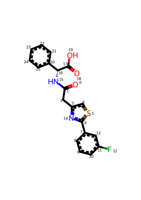 O=C(Cc1csc(-c2cccc(F)c2)n1)N[C@@H](C(=O)O)c1ccccc1